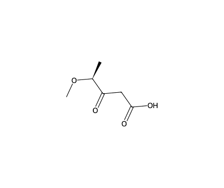 CO[C@@H](C)C(=O)CC(=O)O